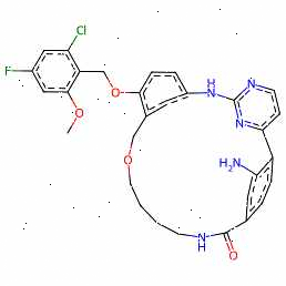 COc1cc(F)cc(Cl)c1COc1ccc2cc1COCCCCNC(=O)c1ccc(c(N)c1)-c1ccnc(n1)N2